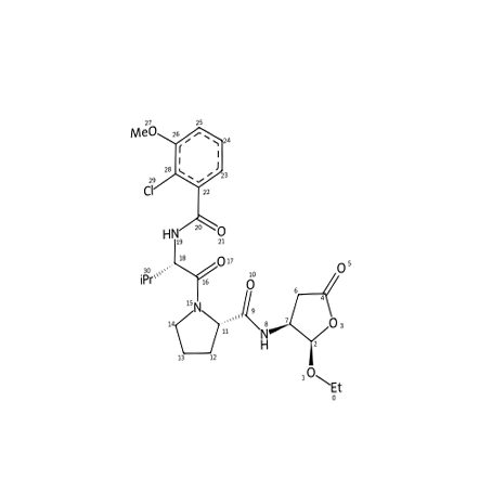 CCO[C@@H]1OC(=O)C[C@@H]1NC(=O)[C@@H]1CCCN1C(=O)[C@@H](NC(=O)c1cccc(OC)c1Cl)C(C)C